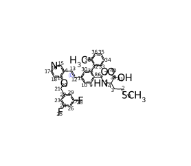 CSCCC(NC(=O)c1ccc(/C=C/c2cnccc2OCc2cc(F)cc(F)c2)cc1-c1ccccc1C)C(=O)O